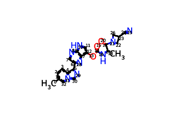 Cc1ccc2c(-c3cnc4[nH]cc(OC(=O)N[C@H](C)C(=O)N5CC(C#N)C5)c4n3)ncn2c1